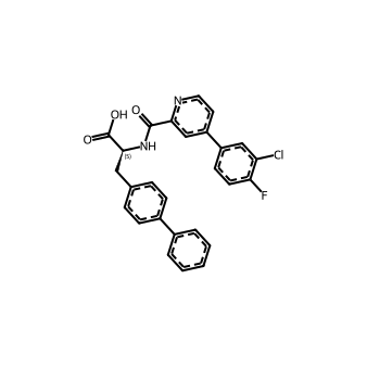 O=C(N[C@@H](Cc1ccc(-c2ccccc2)cc1)C(=O)O)c1cc(-c2ccc(F)c(Cl)c2)ccn1